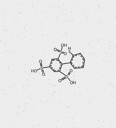 O=S(=O)(O)c1cc(S(=O)(=O)O)c(-c2ccccc2S)c(S(=O)(=O)O)c1